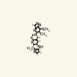 Cc1c(N2CCc3ncc(Nc4ccnn4C)cc3C2)nn2cnnc2c1C